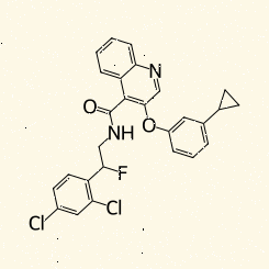 O=C(NCC(F)c1ccc(Cl)cc1Cl)c1c(Oc2cccc(C3CC3)c2)cnc2ccccc12